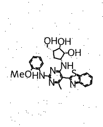 COc1ccccc1Nc1nc(C)c(-c2nc3ccccc3s2)c(N[C@@H]2C[C@H](CO)[C@@H](O)[C@H]2O)n1